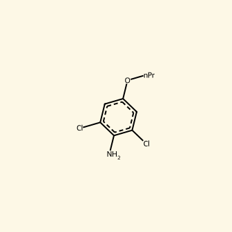 CCCOc1cc(Cl)c(N)c(Cl)c1